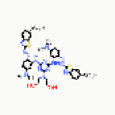 CCN(CC)c1ccc(/N=N/c2nc3ccc(S(=O)(=O)O)cc3s2)c(Nc2nc(Nc3cc(N(CC)CC)ccc3/N=N/c3nc4ccc(S(=O)(=O)O)cc4s3)nc(N(CCO)CCO)n2)c1